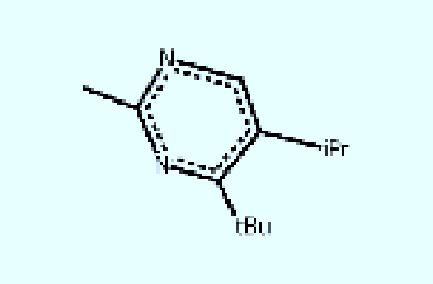 Cc1ncc(C(C)C)c(C(C)(C)C)n1